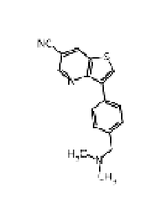 CN(C)Cc1ccc(-c2csc3cc(C#N)cnc23)cc1